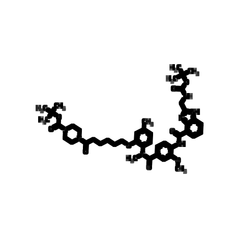 COc1cc(C(=O)N(C)c2ccc(C)cc2OCCCCCC(=O)N2CCN(C(=O)OC(C)(C)C)CC2)ccc1NC(=O)c1cccc2[nH]c(CNC(=O)OC(C)(C)C)nc12